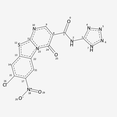 O=C(Nc1nnn[nH]1)c1cnc2sc3cc(Cl)c([N+](=O)[O-])cc3n2c1=O